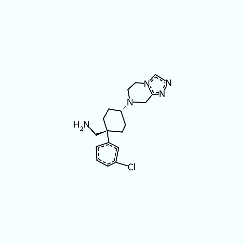 NC[C@]1(c2cccc(Cl)c2)CC[C@@H](N2CCn3cnnc3C2)CC1